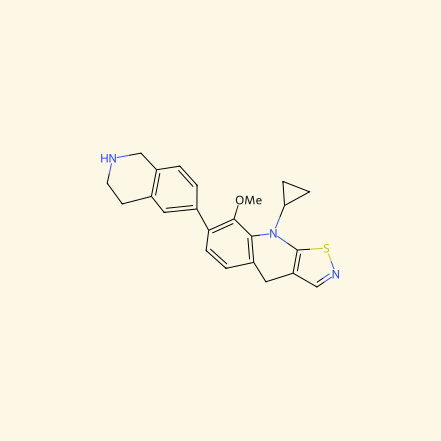 COc1c(-c2ccc3c(c2)CCNC3)ccc2c1N(C1CC1)c1sncc1C2